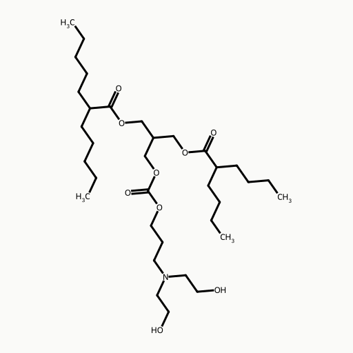 CCCCCC(CCCCC)C(=O)OCC(COC(=O)OCCCN(CCO)CCO)COC(=O)C(CCCC)CCCC